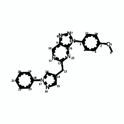 COc1ccc(-n2nnc3cnc(Cc4cnn(-c5ccccc5)c4)nc32)cc1